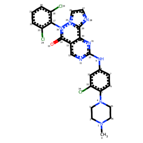 CN1CCN(c2ccc(Nc3ncc4c(=O)n(-c5c(Cl)cccc5Cl)n5ccnc5c4n3)cc2Cl)CC1